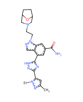 CCn1nc(C)cc1-c1n[nH]c(-c2cc(C(N)=O)cc3c2cnn3CCN2CC3CCC(C2)O3)n1